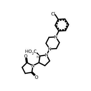 O=C(O)[C@@H]1C(N2C(=O)CCC2=O)CCN1N1CCN(c2cccc(Cl)c2)CC1